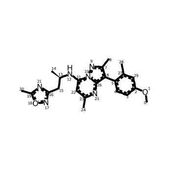 COc1ccc(-c2c(C)nn3c(N[C@H](C)Cc4noc(C)n4)cc(C)nc23)c(C)c1